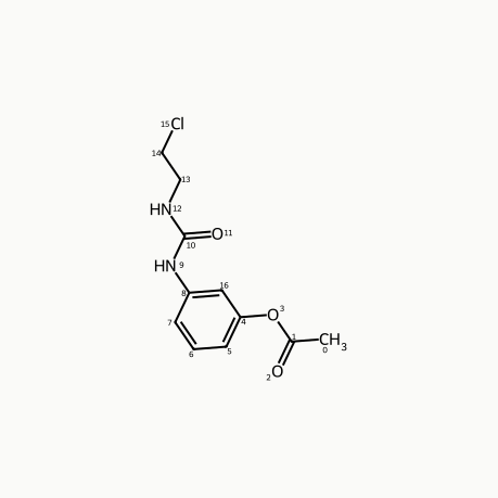 CC(=O)Oc1cccc(NC(=O)NCCCl)c1